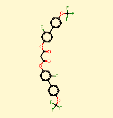 O=C(CC(=O)Oc1ccc(-c2ccc(OC(F)(F)F)cc2)c(F)c1)Oc1ccc(-c2ccc(OC(F)(F)F)cc2)c(F)c1